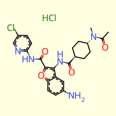 CC(=O)N(C)[C@H]1CC[C@H](C(=O)Nc2c(C(=O)Nc3ccc(Cl)cn3)oc3ccc(N)cc23)CC1.Cl